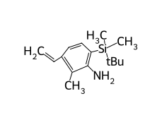 C=Cc1ccc([Si](C)(C)C(C)(C)C)c(N)c1C